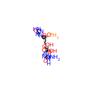 Nc1nc2c(ncn2[C@@H]2OC(OC(O)CC[C@H]3C[C@H](n4cnc5c(=O)[nH]cnc54)O[C@@H]3COP)[C@@H](F)[C@H]2OO)c(=O)[nH]1